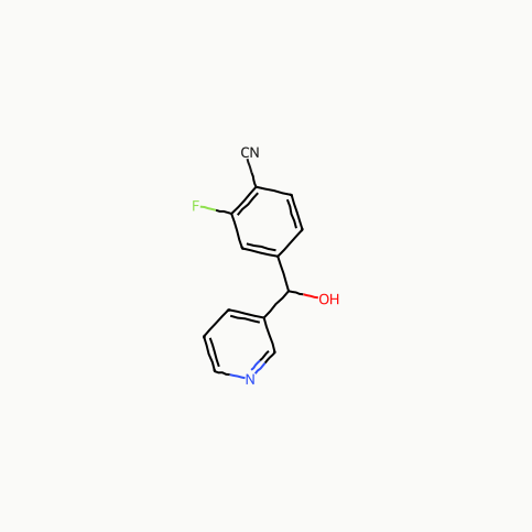 N#Cc1ccc(C(O)c2cccnc2)cc1F